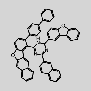 c1ccc(-c2ccc(-c3ccc4oc5cc6ccccc6cc5c4c3C3=NC(c4ccc5ccccc5c4)=NC(c4ccc5oc6ccccc6c5c4)N3)cc2)cc1